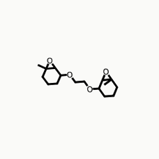 CC12CCCC(OCCOC3CCCC4(C)OC34)C1O2